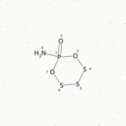 NP1(=O)OSSSO1